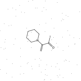 C=C(C(=O)I)N1CCCCC1